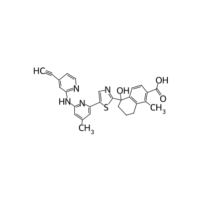 C#Cc1ccnc(Nc2cc(C)cc(-c3cnc(C4(O)CCCc5c4ccc(C(=O)O)c5C)s3)n2)c1